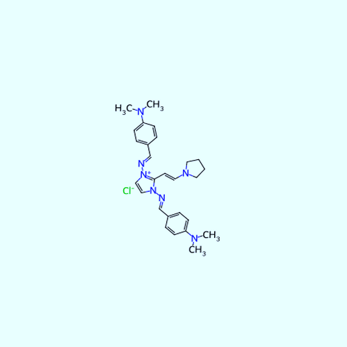 CN(C)c1ccc(C=Nn2cc[n+](N=Cc3ccc(N(C)C)cc3)c2C=CN2CCCC2)cc1.[Cl-]